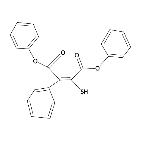 O=C(Oc1ccccc1)/C(S)=C(\C(=O)Oc1ccccc1)c1ccccc1